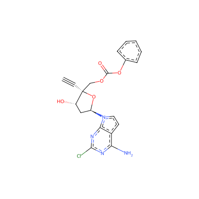 C#C[C@]1(COC(=O)Oc2ccccc2)O[C@@H](n2ccc3c(N)nc(Cl)nc32)C[C@@H]1O